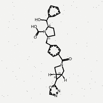 O=C(c1ccc(C[C@@H]2CC[C@H](C(O)c3ccccc3)N2C(=O)O)cc1)N1C[C@@H]2C(c3nnco3)[C@@H]2C1